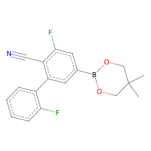 CC1(C)COB(c2cc(F)c(C#N)c(-c3ccccc3F)c2)OC1